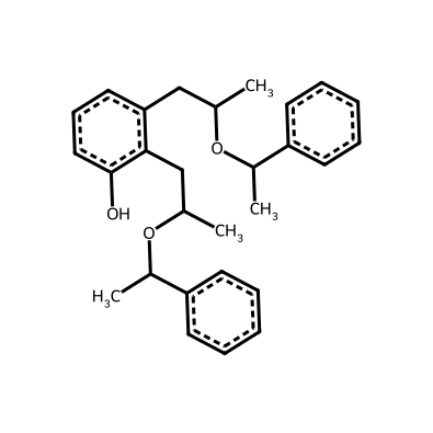 CC(Cc1cccc(O)c1CC(C)OC(C)c1ccccc1)OC(C)c1ccccc1